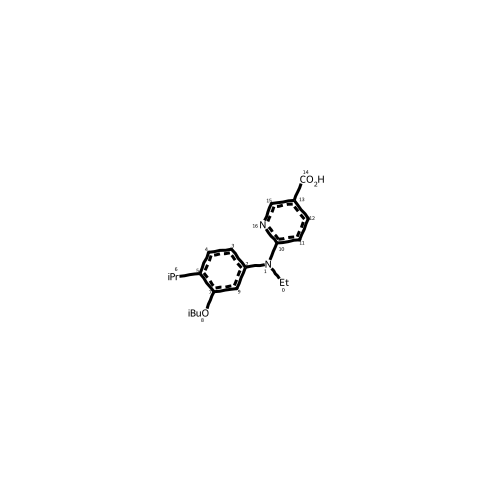 CCN(c1ccc(C(C)C)c(OCC(C)C)c1)c1ccc(C(=O)O)cn1